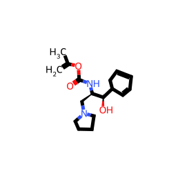 C=C(C)OC(=O)N[C@H](CN1CCCC1)[C@H](O)C1C=CC=CC1